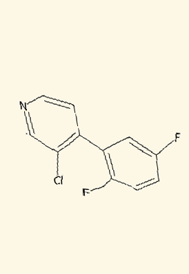 Fc1ccc(F)c(-c2ccn[c]c2Cl)c1